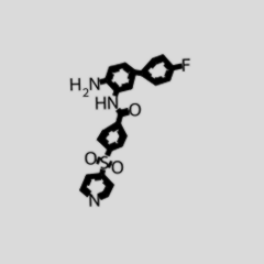 Nc1ccc(-c2ccc(F)cc2)cc1NC(=O)c1ccc(S(=O)(=O)c2ccncc2)cc1